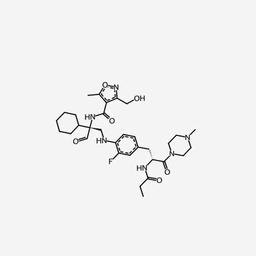 CCC(=O)N[C@H](Cc1ccc(NC[C@](C=O)(NC(=O)c2c(CO)noc2C)C2CCCCC2)c(F)c1)C(=O)N1CCN(C)CC1